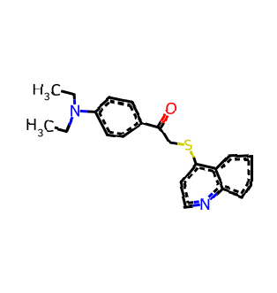 CCN(CC)c1ccc(C(=O)CSc2ccnc3ccccc23)cc1